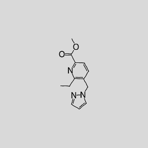 CCc1nc(C(=O)OC)ccc1Cn1cccn1